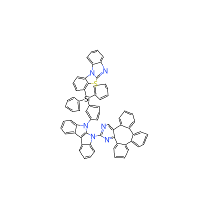 c1ccc([Si](c2ccccc2)(c2cccc(-n3c4ccccc4c4c5ccccc5n(-c5ncc6c(n5)-c5ccccc5-c5ccccc5-c5ccccc5-6)c43)c2)c2cccc3c2sc2nc4ccccc4n23)cc1